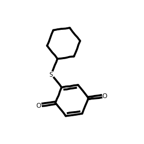 O=C1C=CC(=O)C(SC2CCCCC2)=C1